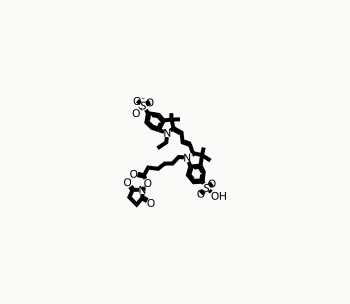 CCN1/C(=C\C=C\C2=[N+](CCCCCC(=O)ON3C(=O)CCC3=O)c3ccc(S(=O)(=O)O)cc3C2(C)C)C(C)(C)c2cc(S(=O)(=O)[O-])ccc21